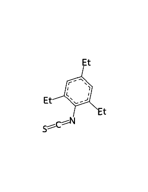 CCc1cc(CC)c(N=C=S)c(CC)c1